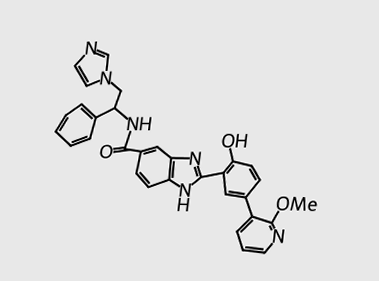 COc1ncccc1-c1ccc(O)c(-c2nc3cc(C(=O)NC(Cn4ccnc4)c4ccccc4)ccc3[nH]2)c1